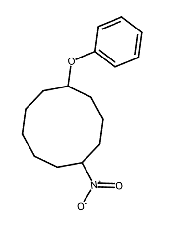 O=[N+]([O-])C1CCCCCC(Oc2ccccc2)CCC1